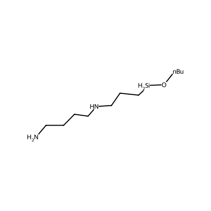 CCCCO[SiH2]CCCNCCCCN